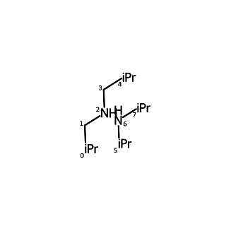 CC(C)CNCC(C)C.CC(C)NC(C)C